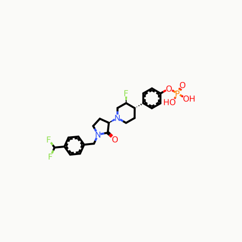 O=C1[C@H](N2CC[C@@H](c3ccc(OP(=O)(O)O)cc3)[C@H](F)C2)CCN1Cc1ccc(C(F)F)cc1